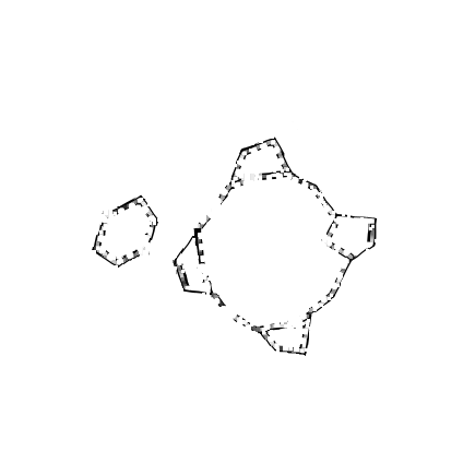 C1=Cc2cc3ccc(cc4nc(cc5ccc(cc1n2)[nH]5)C=C4)[nH]3.[Co].c1cnccn1